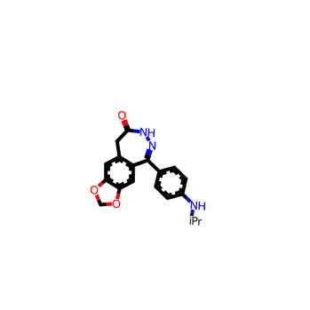 CC(C)Nc1ccc(C2=NNC(=O)Cc3cc4c(cc32)OCO4)cc1